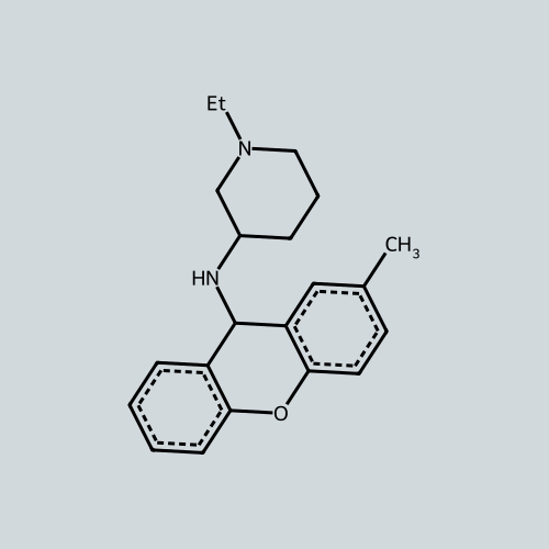 CCN1CCCC(NC2c3ccccc3Oc3ccc(C)cc32)C1